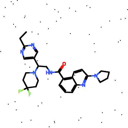 CCc1ncc(C(CNC(=O)c2cccc3nc(N4CCCC4)ccc23)N2CCC(F)(F)CC2)cn1